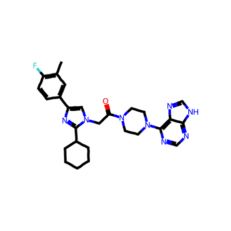 Cc1cc(-c2cn(CC(=O)N3CCN(c4ncnc5[nH]cnc45)CC3)c(C3CCCCC3)n2)ccc1F